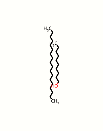 CCCCCCCCCCCCCCCCCC.CCCCCCCCCCO